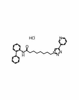 Cl.O=C(CCCCCCCn1cc(-c2cccnc2)nn1)Nc1ccccc1-c1ccccc1